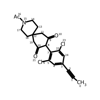 CC#Cc1cc(Cl)c(C2C(=O)CC3(CCN(C(C)=O)CC3)CC2=O)c(Cl)c1